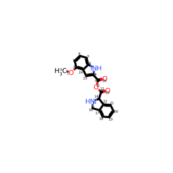 COc1cccc2[nH]c(C(=O)OC(=O)C3NCc4ccccc43)cc12